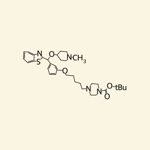 CN1CCC(OC(c2cccc(OCCCCCN3CCN(C(=O)OC(C)(C)C)CC3)c2)c2nc3ccccc3s2)CC1